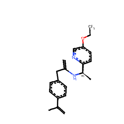 C=C(Cc1ccc(C(=C)C)cc1)N[C@H](C)c1ccc(OCC(F)(F)F)cn1